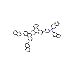 c1ccc2cc(-c3ccc4c(c3)c3cc(-c5ccc6ccccc6c5)ccc3c3cc5c6ccc(-c7ccc(N(c8ccc9ccccc9c8)c8ccc9ccccc9c8)cc7)cc6c6ccccc6c5cc43)ccc2c1